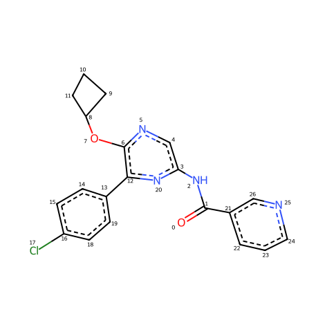 O=C(Nc1cnc(OC2CCC2)c(-c2ccc(Cl)cc2)n1)c1cccnc1